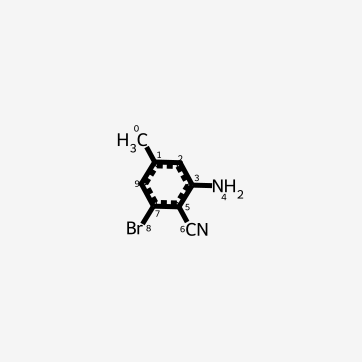 Cc1cc(N)c(C#N)c(Br)c1